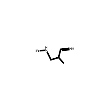 CC(C=N)CNC(C)C